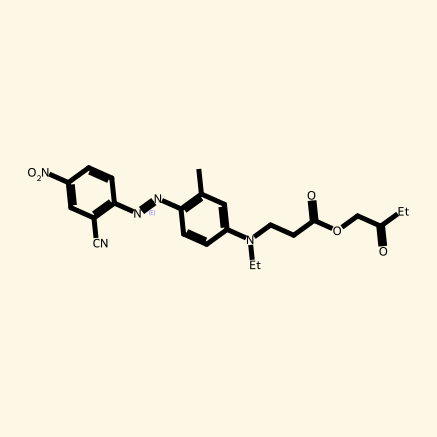 CCC(=O)COC(=O)CCN(CC)c1ccc(/N=N/c2ccc([N+](=O)[O-])cc2C#N)c(C)c1